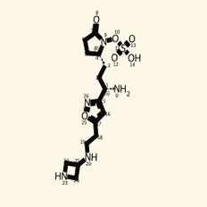 N[C@@H](CC[C@@H]1CCC(=O)N1OS(=O)(=O)O)c1cc(CCNC2CNC2)on1